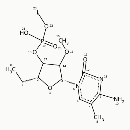 CC[C@H]1O[C@@H](n2cc(C)c(N)nc2=O)C(OC)C1OP(=O)(O)OI